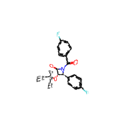 CC[Si](CC)(CC)O[C@H]1C(=O)N(C(=O)c2ccc(F)cc2)[C@H]1c1ccc(F)cc1